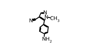 Cn1ncc(C#N)c1-c1ccc(N)cc1